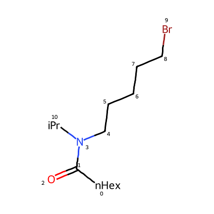 CCCCCCC(=O)N(CCCCCBr)C(C)C